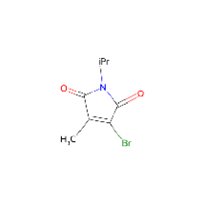 CC1=C(Br)C(=O)N(C(C)C)C1=O